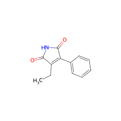 CCC1=C(c2ccccc2)C(=O)NC1=O